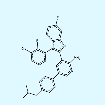 CN(C)Cc1ccc(-c2cnc(N)c(-c3nc4cc(F)ccc4n3-c3cccc(Cl)c3F)c2)cc1